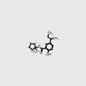 CCC(C)c1ccc(O)c(C(=O)OC2(C)CCCC2)c1